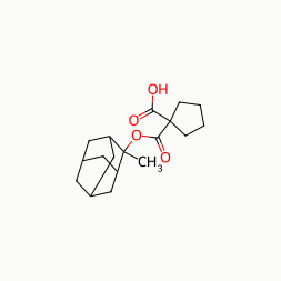 CC1(OC(=O)C2(C(=O)O)CCCC2)C2CC3CC(C2)CC1C3